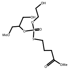 COCC(CO)OP(=O)(OCCO)SCCCC(=O)OC